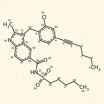 CCCCC#Cc1ccc(Cn2c(C)nc3ccc(C(=O)NS(=O)(=O)CCCCC)cc32)c(Cl)c1